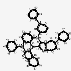 c1ccc(-c2cccc(N3c4cccc5c4B(c4sc6ccc(-c7ccccc7)cc6c43)c3c(sc4ccccc34)N5c3ccccc3)c2)cc1